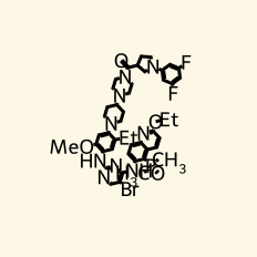 CCOc1ccc2c(P(C)(C)=O)c(Nc3nc(Nc4cc(CC)c(N5CCC(N6CCN(C(=O)C7CCN(c8cc(F)cc(F)c8)C7)CC6)CC5)cc4OC)ncc3Br)ccc2n1